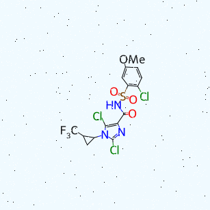 COc1ccc(Cl)c(S(=O)(=O)NC(=O)c2nc(Cl)n(C3CC3C(F)(F)F)c2Cl)c1